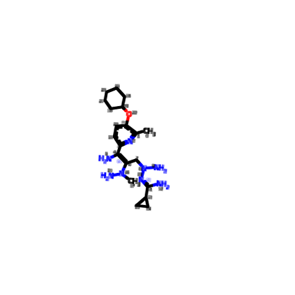 Cc1nc(/C(N)=C(\CN(N)/N=C(\N)C2CC2)N(C)N)ccc1OC1CCCCC1